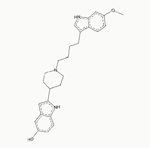 COc1ccc2c(CCCCN3CCC(c4cc5cc(O)ccc5[nH]4)CC3)c[nH]c2c1